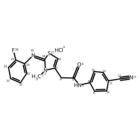 Cl.Cn1c(CC(=O)Nc2ccc(C#N)cc2)cs/c1=N/c1ccccc1F